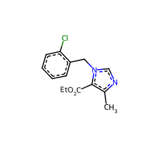 CCOC(=O)c1c(C)ncn1Cc1ccccc1Cl